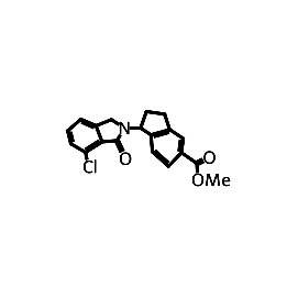 COC(=O)c1ccc2c(c1)CCC2N1Cc2cccc(Cl)c2C1=O